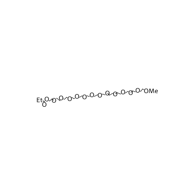 CCC(=O)OCCOCCOCCOCCOCCOCCOCCOCCOCCOCCOCCOCCOCCOC